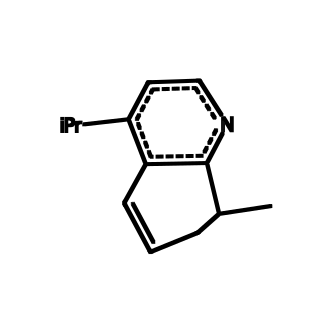 CC(C)c1ccnc2c1C=CCC2C